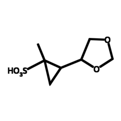 CC1(S(=O)(=O)O)CC1C1COCO1